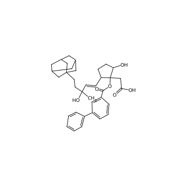 CC(O)(C=CC1CCC(O)C1(CC(=O)O)OC(=O)c1cccc(-c2ccccc2)c1)CCC12CC3CC(CC(C3)C1)C2